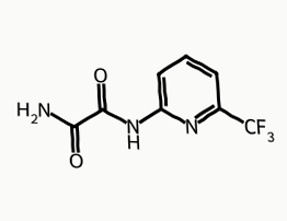 NC(=O)C(=O)Nc1cccc(C(F)(F)F)n1